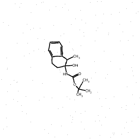 CC1c2ccccc2CCC1(O)NC(=O)OC(C)(C)C